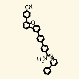 N#Cc1ccc(-c2cccc3c2oc2ccc(-c4ccc(-c5ccc(/C(N)=N/N6C=C(c7ccccc7)C=CC6)cc5)cc4)cc23)cc1